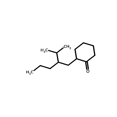 CCCC(CC1CCCCC1=O)C(C)C